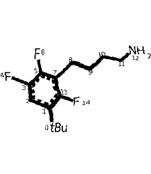 CC(C)(C)c1cc(F)c(F)c(CCCCN)c1F